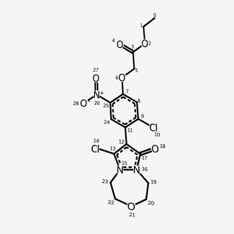 CCOC(=O)COc1cc(Cl)c(-c2c(Cl)n3n(c2=O)CCOCC3)cc1[N+](=O)[O-]